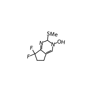 CSC1N=C2C(=CN1O)CCC2(F)F